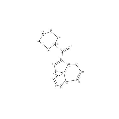 O=C(C1=CSC23CC=CC=C2N=CC=C13)N1CCOCC1